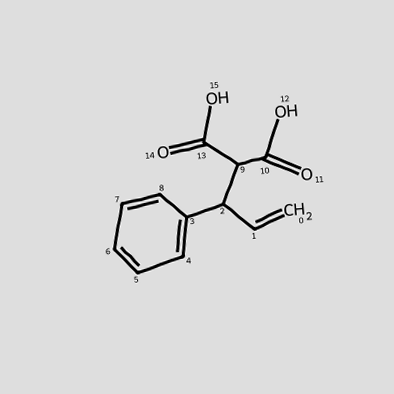 C=CC(c1ccccc1)C(C(=O)O)C(=O)O